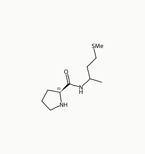 CSCCC(C)NC(=O)[C@@H]1CCCN1